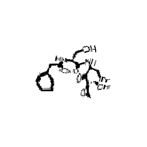 CC(C)C[C@H](NC(=O)[C@H](CO)NC(=O)CC1CCCCC1)C(=O)[C@@]1(CO)CO1